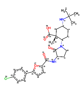 CC(C)(C)N[C@@H]1CC[C@H](N2CCC(NC(=O)c3ccc(-c4ccc(Cl)cc4)o3)C2=O)[C@](C)(C(=O)O)C1